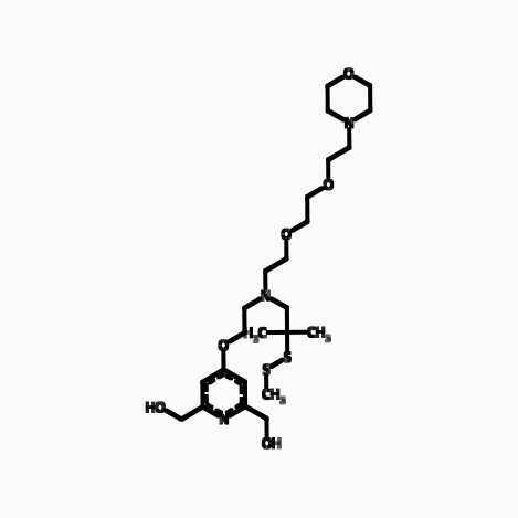 CSSC(C)(C)CN(CCOCCOCCN1CCOCC1)CCOc1cc(CO)nc(CO)c1